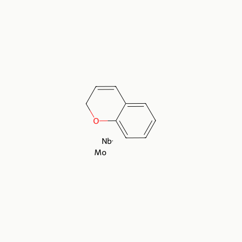 C1=Cc2ccccc2OC1.[Mo].[Nb]